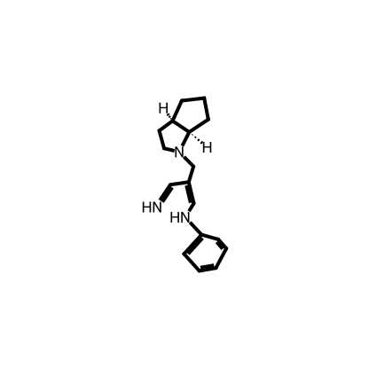 N=C/C(=C\Nc1ccccc1)CN1CC[C@H]2CCC[C@H]21